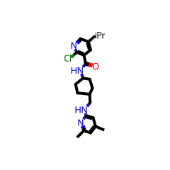 Cc1cc(C)nc(NCC2CCC(NC(=O)c3cc(C(C)C)cnc3Cl)CC2)c1